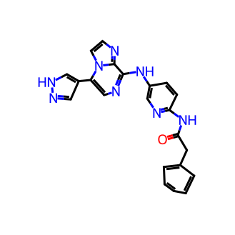 O=C(Cc1ccccc1)Nc1ccc(Nc2ncc(-c3cn[nH]c3)n3ccnc23)cn1